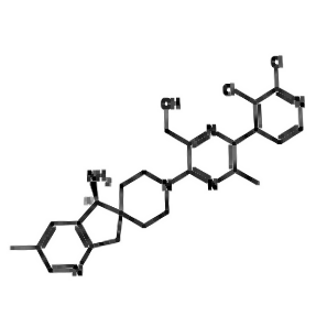 Cc1cnc2c(c1)[C@@H](N)C1(CCN(c3nc(C)c(-c4ccnc(Cl)c4Cl)nc3CO)CC1)C2